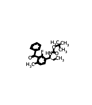 CC[C@@H](NC(=O)OC(C)(C)C)c1ccc(C)c(C(=O)c2ccccc2)c1F